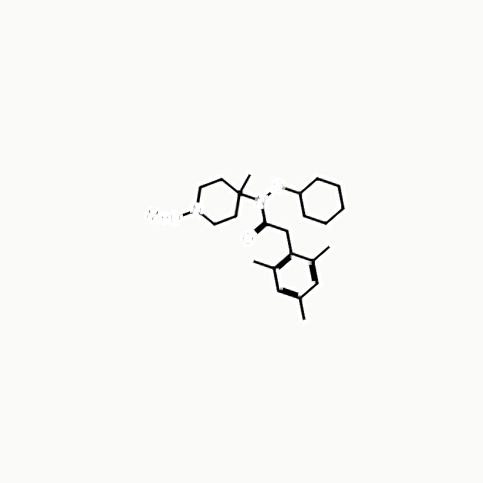 CON1CCC(C)(N(OC2CCCCC2)C(=O)Cc2c(C)cc(C)cc2C)CC1